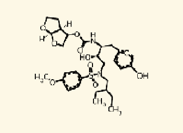 CCC(CC)CN(C[C@@H](O)[C@H](Cc1ccc(O)cc1)NC(=O)O[C@H]1CO[C@H]2OCC[C@H]21)S(=O)(=O)c1ccc(OC)cc1